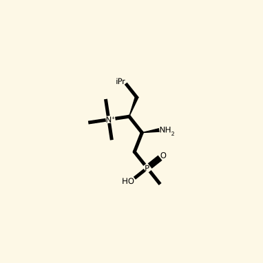 CC(C)C[C@@H]([C@@H](N)CP(C)(=O)O)[N+](C)(C)C